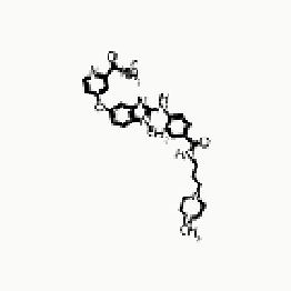 CNC(=O)c1cc(Oc2ccc3c(c2)nc(Nc2ccc(C(=O)NCCCN4CCN(C)CC4)cc2)n3C)ccn1